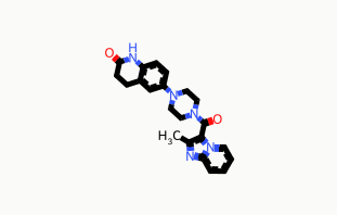 Cc1nc2ccccn2c1C(=O)N1CCN(c2ccc3c(c2)CCC(=O)N3)CC1